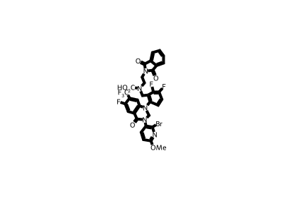 COc1ccc(N2CN(c3ccc(F)c(F)c3CN(CCN3C(=O)c4ccccc4C3=O)C(=O)O)c3cc(C(F)(F)F)c(F)cc3C2=O)c(Br)n1